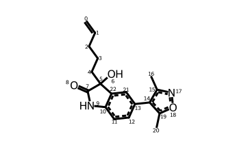 C=CCCCC1(O)C(=O)Nc2ccc(-c3c(C)noc3C)cc21